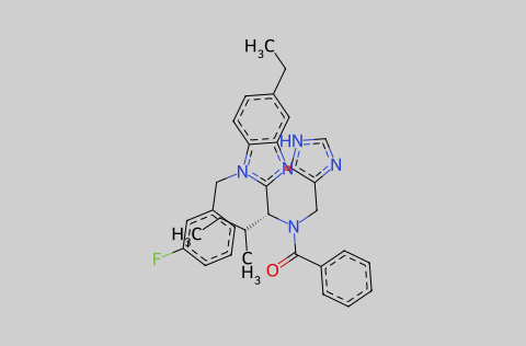 CCc1ccc2c(c1)nc([C@@H](C(C)CC)N(Cc1c[nH]cn1)C(=O)c1ccccc1)n2Cc1cccc(F)c1